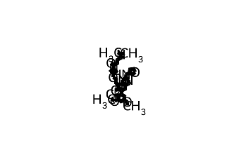 COc1cc(OC)c(Cl)c(-c2cc3cnc(NC4CCOC4)nc3n(CCOC3CN(C(=O)C=CCN(C)C)C3)c2=O)c1